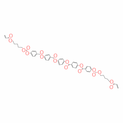 C=CC(=O)OCCCCCOC(=O)Oc1ccc(C(=O)Oc2ccc(C(=O)Oc3ccc(OC(=O)c4ccc(OC(=O)c5ccc(OC(=O)OCCCCCOC(=O)C=C)cc5)cc4)cc3)cc2)cc1